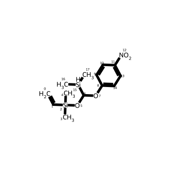 C=C[Si](C)(C)OC(Oc1ccc([N+](=O)[O-])cc1)[SiH](C)C